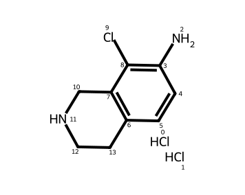 Cl.Cl.Nc1ccc2c(c1Cl)CNCC2